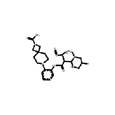 CC(=O)N1CC2(CCN(c3ccncc3NC(=O)C(C(N)N=O)C3NCC(F)CN3C)CC2)C1